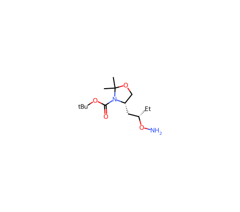 CC[C@@H](C[C@H]1COC(C)(C)N1C(=O)OC(C)(C)C)ON